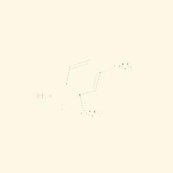 COC1=CC(CO)(OC)CC=C1